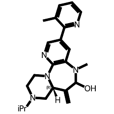 C=C1C(O)N(C)c2cc(-c3ncccc3C)cnc2N2CCN(C(C)C)C[C@@H]12